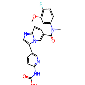 COc1cc(N(C)C(=O)c2ccc3ncc(-c4ccc(NC(=O)O)nc4)n3c2)ccc1F